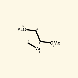 CC(C)=O.COCCOC(C)=O